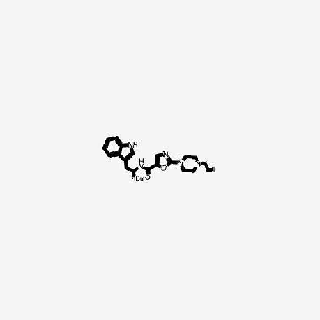 CCCCC(Cc1c[nH]c2ccccc12)NC(=O)c1cnc(N2CCN(CCF)CC2)o1